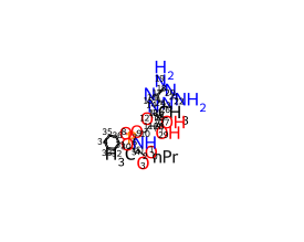 CCCOC(=O)[C@H](C)NP(=O)(OCC1O[C@@H](n2cnc3c(N)nc(N)nc32)[C@](C)(O)[C@@H]1O)Oc1ccccc1